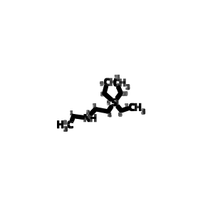 CCNCC[Si](CC)(CC)CC